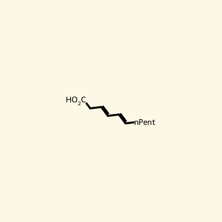 CCCCCC=CC=CCC(=O)O